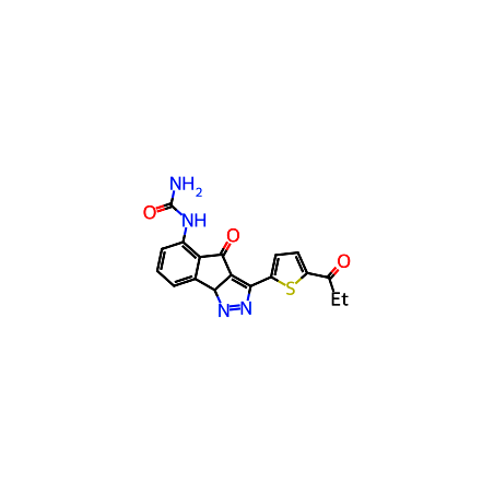 CCC(=O)c1ccc(C2=C3C(=O)c4c(NC(N)=O)cccc4C3N=N2)s1